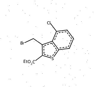 CCOC(=O)c1sc2cccc(Cl)c2c1CBr